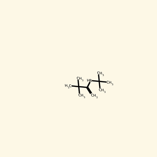 C=C(BC(C)(C)C)C(C)(C)C